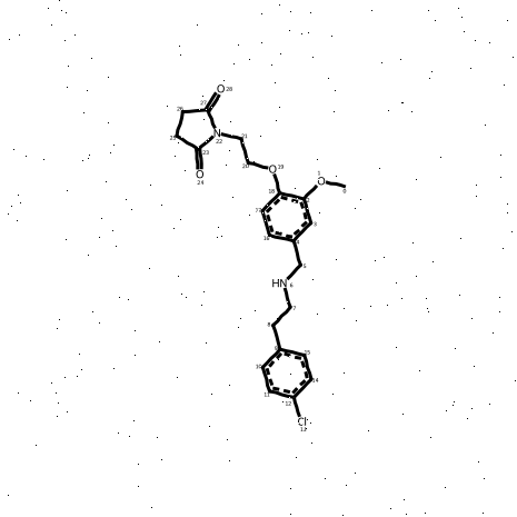 COc1cc(CNCCc2ccc(Cl)cc2)ccc1OCCN1C(=O)CCC1=O